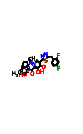 C[C@H]1C2CCC3(N(C)C(=O)c4c(O)c(=O)c(-c5nnc(Cc6ccc(F)cc6F)s5)cn4N3C)[C@]21CO